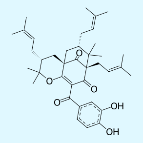 CC(C)=CC[C@@H]1C[C@]23C[C@H](CC=C(C)C)C(C)(C)[C@](CC=C(C)C)(C(=O)C(C(=O)c4ccc(O)c(O)c4)=C2OC1(C)C)C3=O